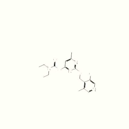 CCN(CC)C(=O)Oc1cc(C)nc(SCc2c(C)cncc2Cl)n1